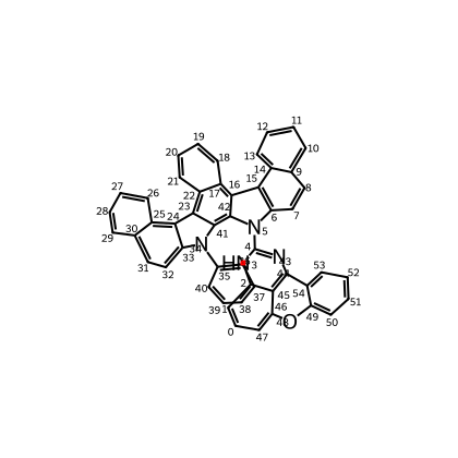 C1=CC2NC(n3c4ccc5ccccc5c4c4c5ccccc5c5c6c7ccccc7ccc6n(-c6ccccc6)c5c43)=NC3=C2C(=C1)Oc1ccccc13